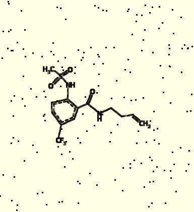 C=CCCNC(=O)c1cc(C(F)(F)F)ccc1NS(C)(=O)=O